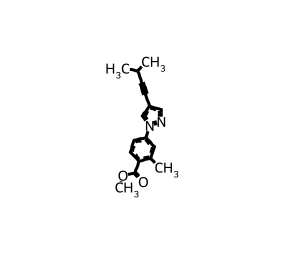 COC(=O)c1ccc(-n2cc(C#CC(C)C)cn2)cc1C